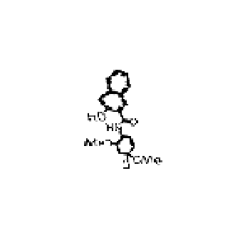 COC1=C(NC(=O)c2cc3ccccc3cc2O)C=CC(Cl)(OC)C1